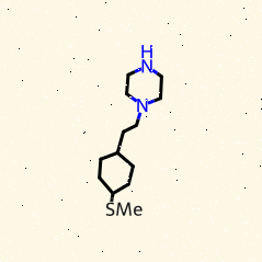 CSC1CCC(CCN2CCNCC2)CC1